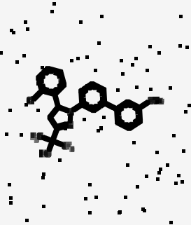 CSc1cccc(-c2cccc(N3N=C(C(O)(C(F)(F)F)C(F)(F)F)CC3c3ccccc3Cl)c2)c1